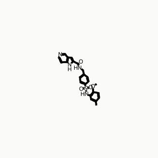 COc1ccc(C)cc1NS(=O)(=O)c1ccc(CNC(=O)c2cc3cnccc3[nH]2)cc1